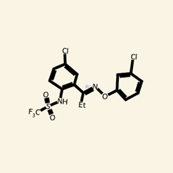 CC/C(=N\Oc1cccc(Cl)c1)c1cc(Cl)ccc1NS(=O)(=O)C(F)(F)F